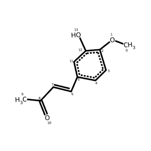 COc1ccc(C=CC(C)=O)cc1O